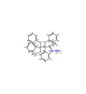 CCC(Cc1ccccc1)(c1ccccc1)C(Cc1ccccc1)(C(C)=NN)c1ccccc1